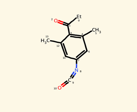 CCC(=O)c1c(C)cc(N=C=O)cc1C